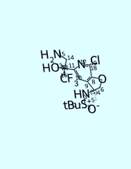 CC(C)(C)[S+]([O-])N[C@]1(C)COc2c1cc([C@](O)(CN)C(F)(F)F)nc2Cl